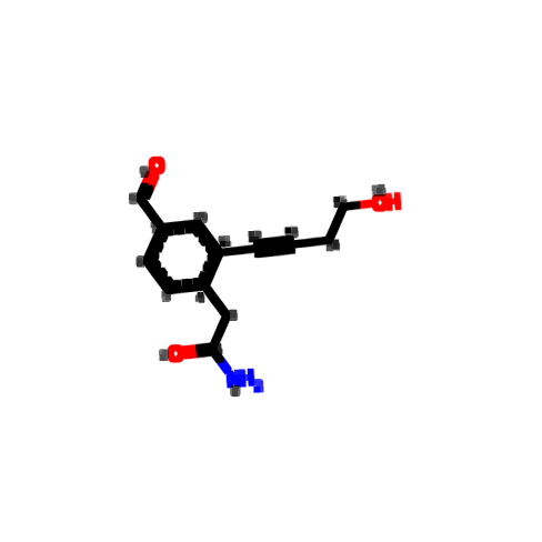 NC(=O)Cc1ccc(C=O)cc1C#CCCO